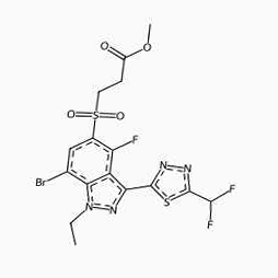 CCn1nc(-c2nnc(C(F)F)s2)c2c(F)c(S(=O)(=O)CCC(=O)OC)cc(Br)c21